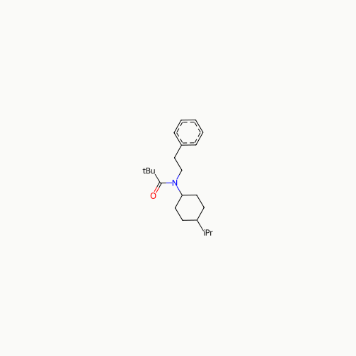 CC(C)C1CCC(N(CCc2ccccc2)C(=O)C(C)(C)C)CC1